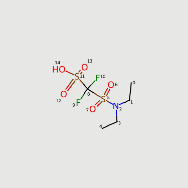 CCN(CC)S(=O)(=O)C(F)(F)S(=O)(=O)O